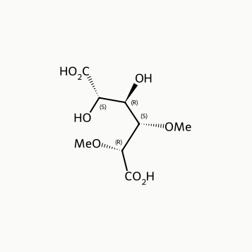 CO[C@@H]([C@H](O)[C@H](O)C(=O)O)[C@@H](OC)C(=O)O